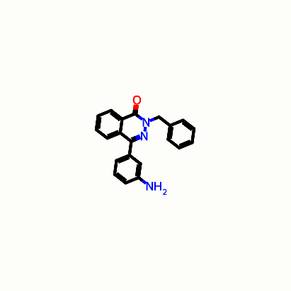 Nc1cccc(-c2nn(Cc3ccccc3)c(=O)c3ccccc23)c1